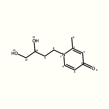 Cc1cc(=O)ccn1CCC(O)CO